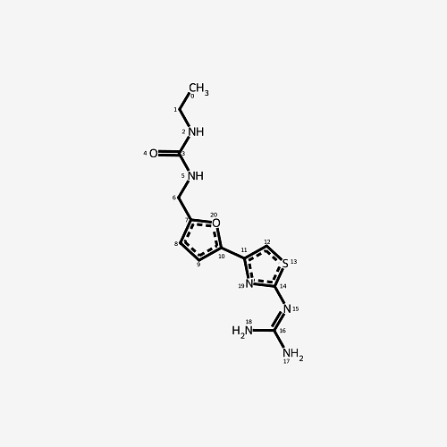 CCNC(=O)NCc1ccc(-c2csc(N=C(N)N)n2)o1